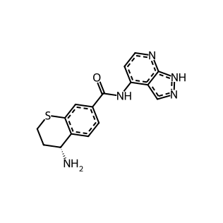 N[C@@H]1CCSc2cc(C(=O)Nc3ccnc4[nH]ncc34)ccc21